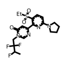 CCS(=O)(=O)c1ccc(N2CCCC2)nc1-c1cc(=O)n(CC(F)(F)C(C)F)cn1